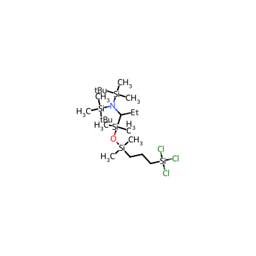 CCC(N([Si](C)(C)C(C)(C)C)[Si](C)(C)C(C)(C)C)[Si](C)(C)O[Si](C)(C)CCC[Si](Cl)(Cl)Cl